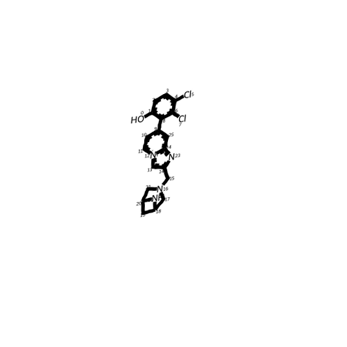 Oc1ccc(Cl)c(Cl)c1-c1ccn2cc(CN3CC4CC(C3)N4)nc2c1